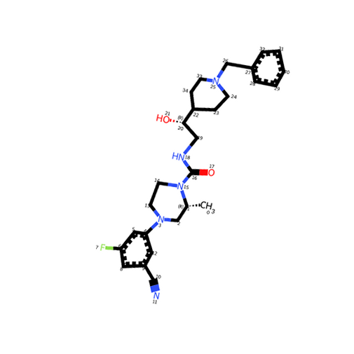 C[C@@H]1CN(c2cc(F)cc(C#N)c2)CCN1C(=O)NC[C@H](O)C1CCN(Cc2ccccc2)CC1